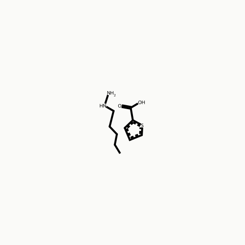 CCCCCNN.O=C(O)c1cccs1